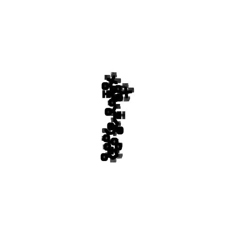 CC(CS(=O)(=O)CCNC(=O)CON(NOC(=O)C(C)(C)C)OC(=O)C(C)(C)C)OC(=O)ON1C(=O)CCC1=O